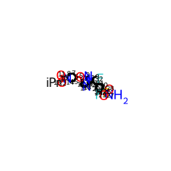 Cc1nn2c(OC3CCN(C(=O)OC(C)C)CC3)ccnc2c1-c1cc(F)c(S(N)(=O)=O)cc1F